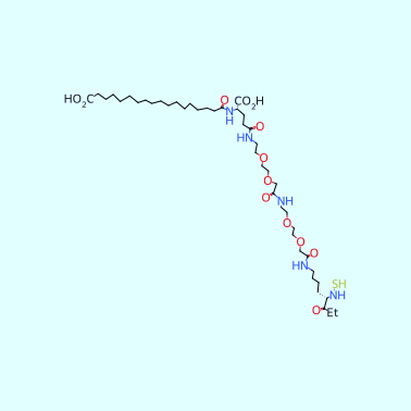 CCC(=O)[C@H](CCCCNC(=O)COCCOCCNC(=O)COCCOCCNC(=O)CC[C@H](NC(=O)CCCCCCCCCCCCCCCCC(=O)O)C(=O)O)NS